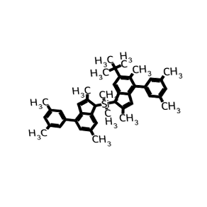 CC1=Cc2c(-c3cc(C)cc(C)c3)cc(C)cc2C1[Si](C)(C)C1C(C)=Cc2c1cc(C(C)(C)C)c(C)c2-c1cc(C)cc(C)c1